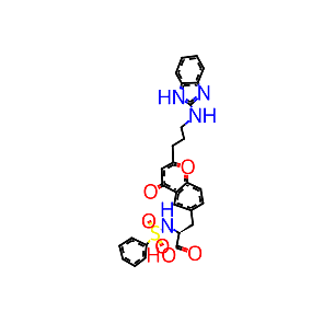 O=C(O)[C@H](Cc1ccc2oc(CCCNc3nc4ccccc4[nH]3)cc(=O)c2c1)NS(=O)(=O)c1ccccc1